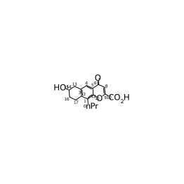 CCCc1c2c(cc3c(=O)cc(C(=O)O)oc13)CC(O)CC2